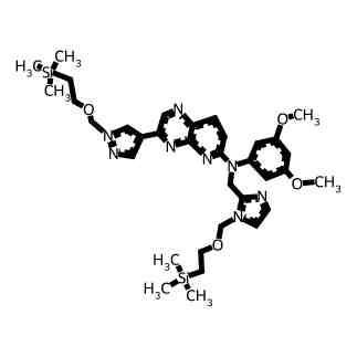 COc1cc(OC)cc(N(Cc2nccn2COCC[Si](C)(C)C)c2ccc3ncc(-c4cnn(COCC[Si](C)(C)C)c4)nc3n2)c1